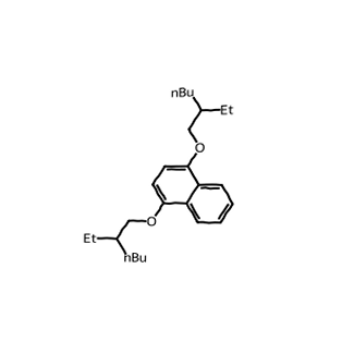 CCCCC(CC)COc1ccc(OCC(CC)CCCC)c2ccccc12